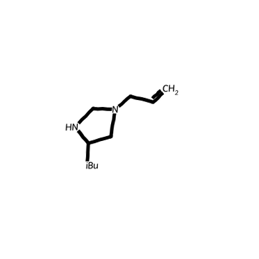 C=CCN1CNC(C(C)CC)C1